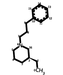 CC[C@H]1CCCN(CCCc2ccccc2)C1